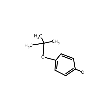 CC(C)(C)Oc1ccc([O])cc1